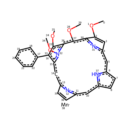 COC1=Cc2cc3ccc(cc4nc(cc5c(-c6ccccc6)c(OC)c(c(OC)c1n2)n5OC)C=C4)[nH]3.[Mn]